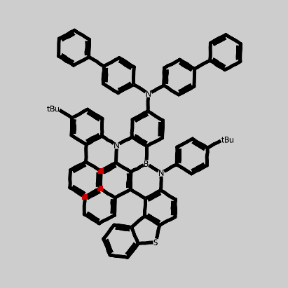 CC(C)(C)c1ccc(N2B3c4ccc(N(c5ccc(-c6ccccc6)cc5)c5ccc(-c6ccccc6)cc5)cc4N(c4ccc(C(C)(C)C)cc4-c4ccccc4)c4cc5ccccc5c(c43)-c3c2ccc2sc4ccccc4c32)cc1